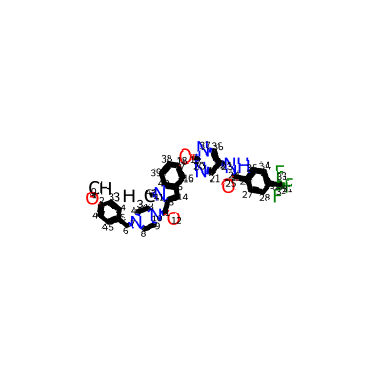 COc1ccc(CN2CCN(C(=O)c3cc4cc(Oc5ncc(NC(=O)c6ccc(C(F)(F)F)cc6)cn5)ccc4n3C)CC2)cc1